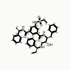 CC[C@H](NC[C@@H](O)[C@H](Cc1ccccc1)NC(=O)c1cc(NS(=O)(=O)CC)cc(C(=O)N[C@H](C)c2ccccc2)c1)c1ccccc1